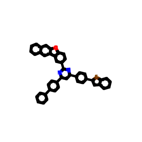 c1ccc(-c2ccc(-c3cc(-c4ccc(-c5cc6ccccc6s5)cc4)nc(-c4ccc5oc6cc7ccccc7cc6c5c4)n3)cc2)cc1